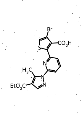 CCOC(=O)c1cnn(-c2cccc(-c3scc(Br)c3C(=O)O)n2)c1C